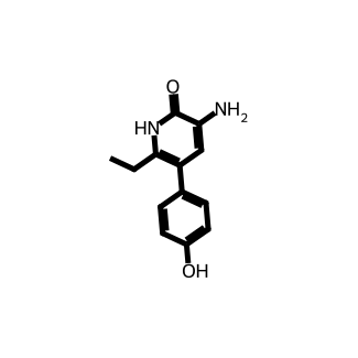 CCc1[nH]c(=O)c(N)cc1-c1ccc(O)cc1